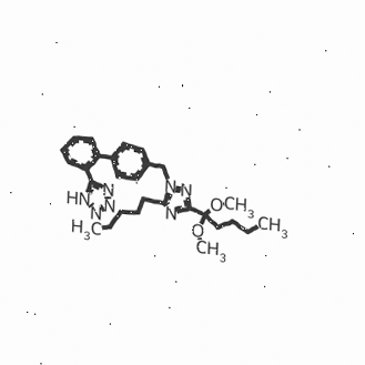 CCCCCc1nc(C(CCCC)(OC)OC)nn1Cc1ccc(-c2ccccc2-c2nnn[nH]2)cc1